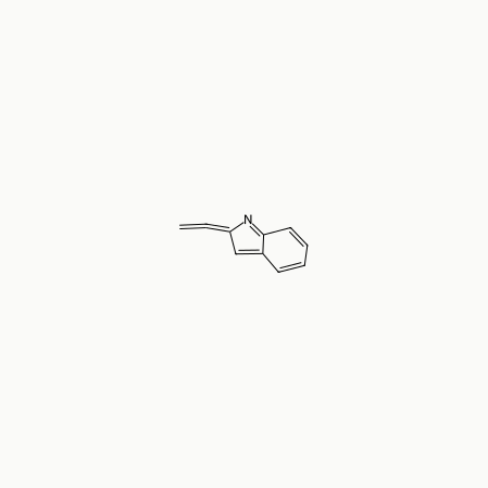 C=C=C1C=c2ccccc2=N1